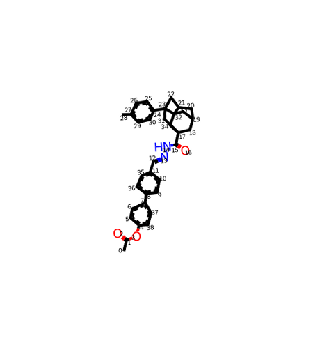 CC(=O)Oc1ccc(-c2ccc(/C=N/NC(=O)C34CC5CC6CC(c7ccc(C)cc7)(C3)C6(C5)C4)cc2)cc1